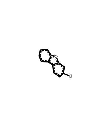 Clc1ccc2c(c1)oc1ccc[c]c12